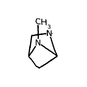 CN1C2C[N]C1C2